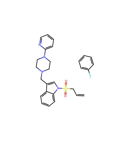 C=CCS(=O)(=O)n1cc(CN2CCN(c3ccccn3)CC2)c2ccccc21.Fc1ccccc1